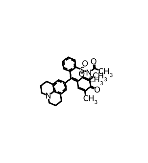 CC(=O)N(C)S(=O)(=O)c1ccccc1C(=C1C=C(C)C(=O)C(C)=C1)c1cc2c3c(c1)CCCN3CCC2